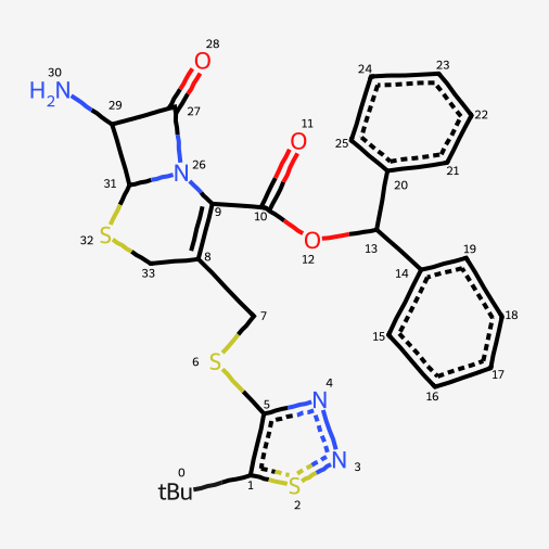 CC(C)(C)c1snnc1SCC1=C(C(=O)OC(c2ccccc2)c2ccccc2)N2C(=O)C(N)C2SC1